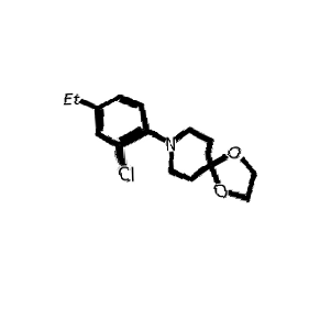 CCc1ccc(N2CCC3(CC2)OCCO3)c(Cl)c1